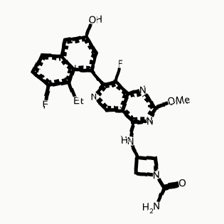 CCc1c(F)ccc2cc(O)cc(-c3ncc4c(NC5CN(C(N)=O)C5)nc(OC)nc4c3F)c12